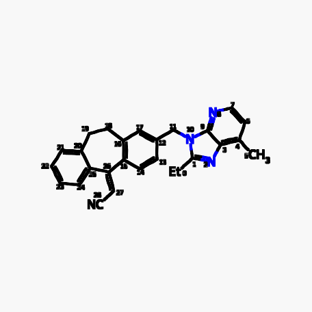 CCc1nc2c(C)ccnc2n1Cc1ccc2c(c1)CCc1ccccc1C2=CC#N